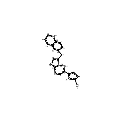 Clc1ccc(-c2ccc3ncc(Cc4ccc5ncccc5c4)n3n2)s1